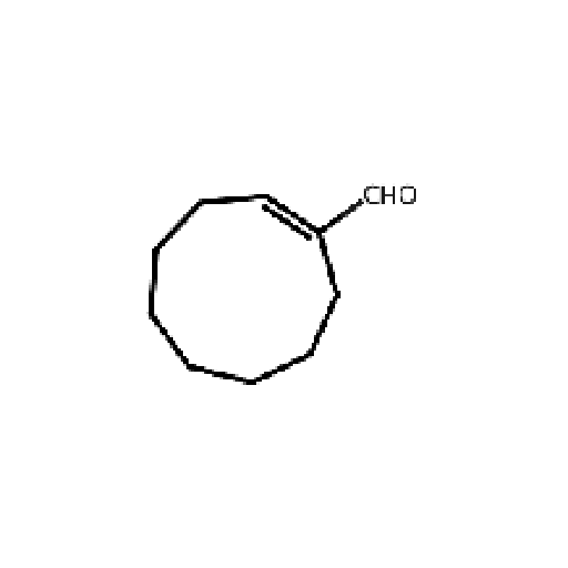 O=CC1=CCCCCCCC1